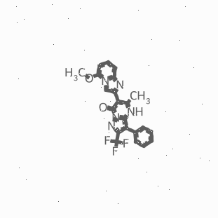 COc1cccc2nc(-c3c(C)[nH]c4c(-c5ccccc5)c(C(F)(F)F)nn4c3=O)cn12